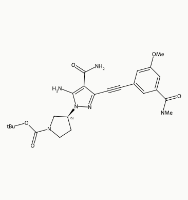 CNC(=O)c1cc(C#Cc2nn([C@H]3CCN(C(=O)OC(C)(C)C)C3)c(N)c2C(N)=O)cc(OC)c1